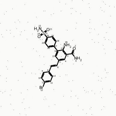 NC(=O)c1cc(C=Cc2ccc(Br)cc2)cc(-c2ccc(S(N)(=O)=O)cc2)c1N